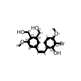 COc1ccc(/C=C\c2cc(CO)c(CO)c(OC)c2)c(O)c1Br